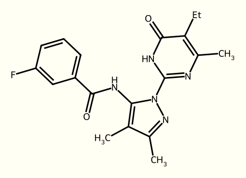 CCc1c(C)nc(-n2nc(C)c(C)c2NC(=O)c2cccc(F)c2)[nH]c1=O